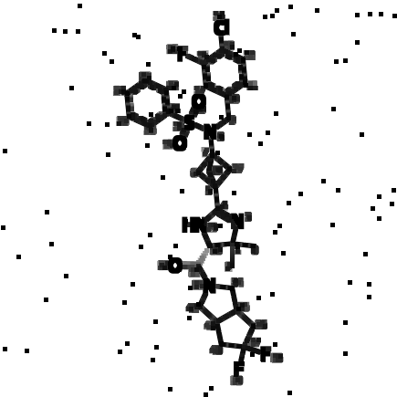 CC1(C)N=C(C23CC(N(Cc4ccc(Cl)c(F)c4)S(=O)(=O)c4ccccc4)(C2)C3)N[C@H]1C(=O)N1CC2CC(F)(F)CC2C1